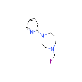 ICN1CCCN(c2ccccn2)CC1